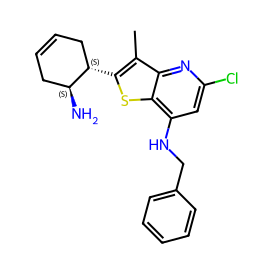 Cc1c([C@H]2CC=CC[C@@H]2N)sc2c(NCc3ccccc3)cc(Cl)nc12